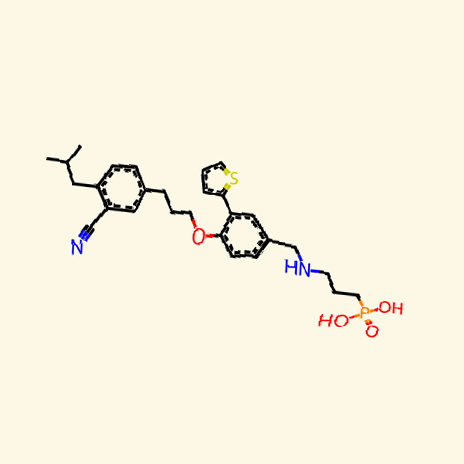 CC(C)Cc1ccc(CCCOc2ccc(CNCCCP(=O)(O)O)cc2-c2cccs2)cc1C#N